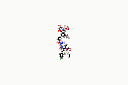 CCCCON(C=O)[C@H](CC)[C@@H](CCc1ccc(F)cc1F)C(=O)NCNC(=O)c1ccc(-c2cc(OCC)cc(C(=O)N(CC(=O)OC)CC(=O)OC)c2)o1